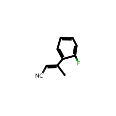 C/C(=C\C#N)c1ccccc1F